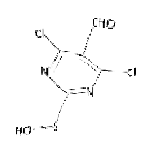 O=Cc1c(Cl)nc(SO)nc1Cl